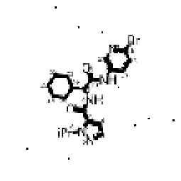 CC(C)n1nccc1C(=O)N[C@H](C(=O)Nc1ccc(Br)nc1)C1CCCCC1